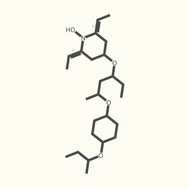 C/C=C1\CC(OC(CC)CC(C)OC2CCC(OC(C)CC)CC2)C/C(=C\C)N1O